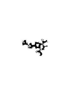 CCC(=O)N1C[C@H](C)N(C(C)=O)c2ccc(-c3cnn(C4COC4)c3)cc21